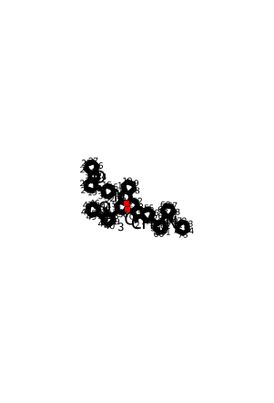 CC1(C)c2ccc(-c3ccccc3N(c3ccc(-c4cccc5c4oc4ccccc45)cc3)c3cccc(-c4cccc5c4oc4ccccc45)c3)cc2-c2ccc(-c3cccc4c3c3ccccc3n4-c3ccccc3)cc21